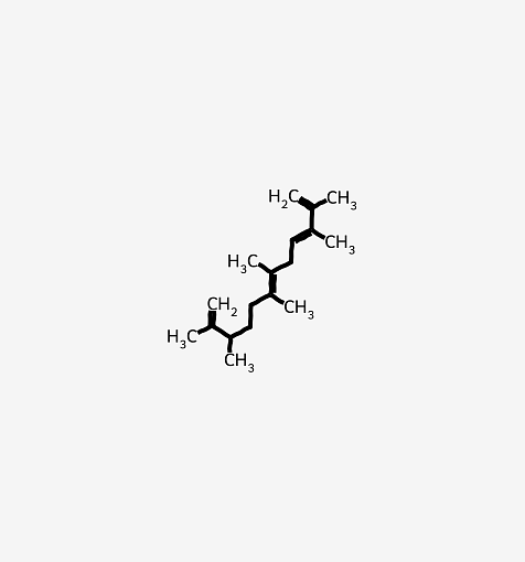 C=C(C)/C(C)=C/C/C(C)=C(\C)CCC(C)C(=C)C